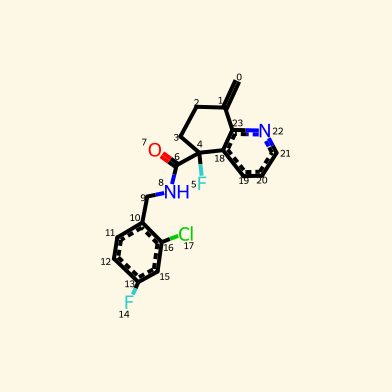 C=C1CCC(F)(C(=O)NCc2ccc(F)cc2Cl)c2cccnc21